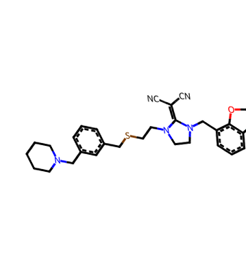 N#CC(C#N)=C1N(CCSCc2cccc(CN3CCCCC3)c2)CCN1Cc1cccc2c1OCO2